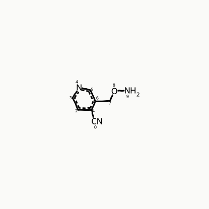 N#Cc1ccncc1CON